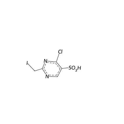 O=S(=O)(O)c1cnc(CI)nc1Cl